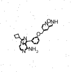 Nc1nccn2c(C3CCC3)nc(-c3cccc(OCC4=CC5=CNON5C=C4)c3)c12